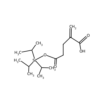 C=C(CCC(=O)O[Si](C(C)C)(C(C)C)C(C)C)C(=O)O